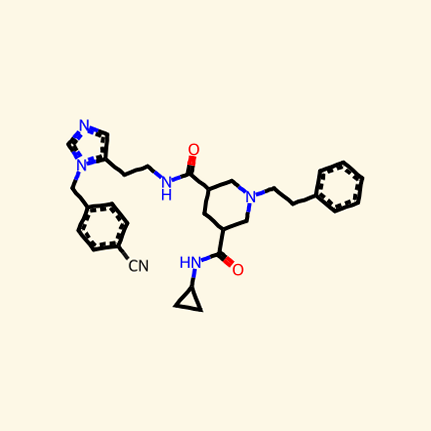 N#Cc1ccc(Cn2cncc2CCNC(=O)C2CC(C(=O)NC3CC3)CN(CCc3ccccc3)C2)cc1